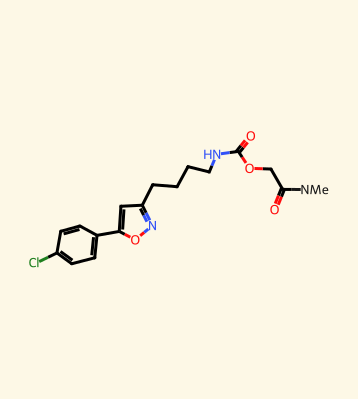 CNC(=O)COC(=O)NCCCCc1cc(-c2ccc(Cl)cc2)on1